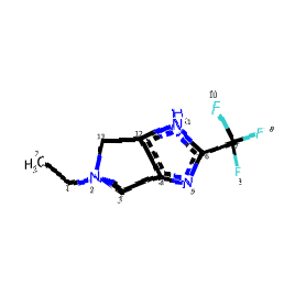 CCN1Cc2nc(C(F)(F)F)[nH]c2C1